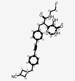 N#CC1CN(Cc2ccc(C#Cc3ccc(CC(C(=O)NCCF)c4nc[nH]c(=O)c4O)cc3)cc2)C1